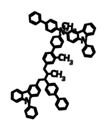 Cc1cc(CC(C)C(Cc2ccc3c(c2)c2ccccc2n3-c2ccccc2)c2ccc(-c3ccccc3)cc2)ccc1C1=CC=C([N+](C)(c2ccc(-c3ccccc3)cc2)c2ccc3c(c2)c2ccccc2n3-c2ccccc2)CC1